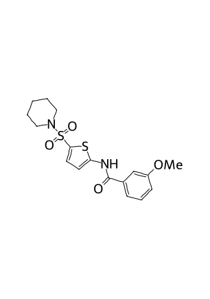 COc1cccc(C(=O)Nc2ccc(S(=O)(=O)N3CCCCC3)s2)c1